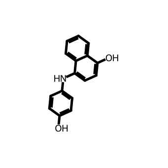 Oc1ccc(Nc2ccc(O)c3ccccc23)cc1